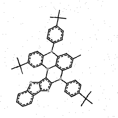 Cc1cc2c3c(c1)N(c1ccc(C(C)(C)C)cc1)c1sc4c(oc5ccccc54)c1B3c1cc(C(C)(C)C)ccc1N2c1ccc(C(C)(C)C)cc1